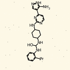 CC(C)c1ccccc1NC(O)NC1CCC(Nc2nccc(-c3cn[nH]c3N)n2)CC1